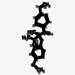 CSc1ccc(CC(C)(C(=O)c2ccc(SC)cc2)N(C)C)cc1